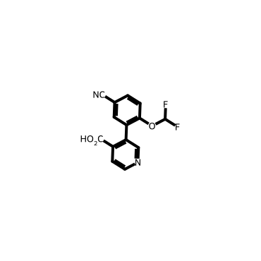 N#Cc1ccc(OC(F)F)c(-c2cnccc2C(=O)O)c1